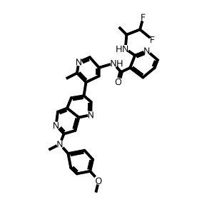 COc1ccc(N(C)c2cc3ncc(-c4cc(NC(=O)c5cccnc5NC(C)C(F)F)cnc4C)cc3cn2)cc1